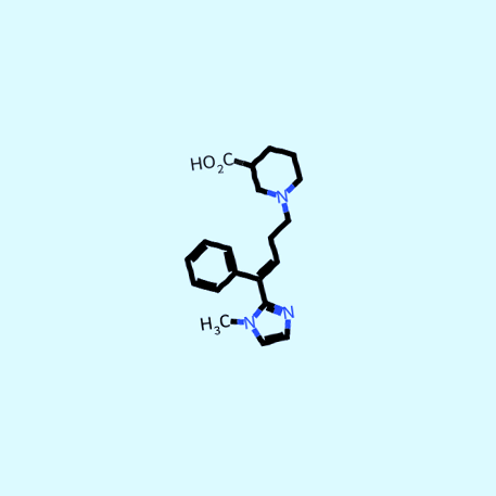 Cn1ccnc1C(=CCCN1CCCC(C(=O)O)C1)c1ccccc1